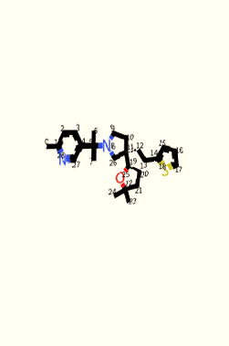 Cc1ccc(C(C)(C)N2CC[C@@](CCc3cccs3)([C@H]3CCC(C)(C)O3)C2)cn1